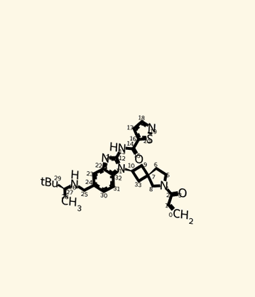 C=CC(=O)N1CC[C@]2(C1)C[C@H](n1c(NC(=O)c3ccns3)nc3cc(CN[C@@H](C)C(C)(C)C)ccc31)C2